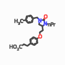 CCCN1C(=O)N(Cc2ccc(C)cc2)CC1CCOc1ccc(CCC(=O)O)cc1